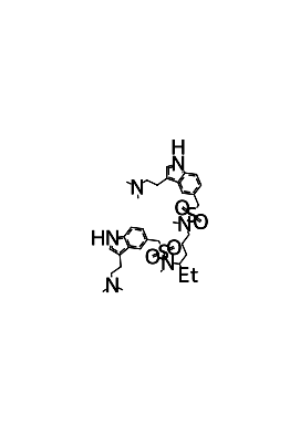 CCC(CCCN(C)S(=O)(=O)Cc1ccc2[nH]cc(CCN(C)C)c2c1)N(C)S(=O)(=O)Cc1ccc2[nH]cc(CCN(C)C)c2c1